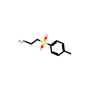 Cc1ccc(S(=O)(=O)C[CH2][AlH2])cc1